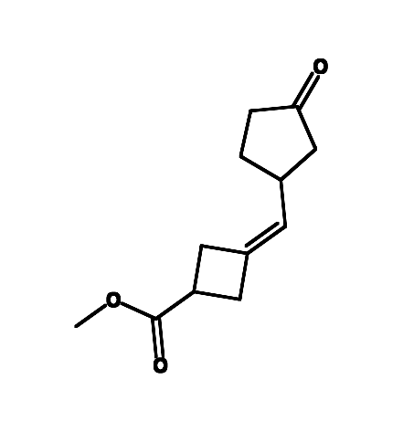 COC(=O)C1CC(=CC2CCC(=O)C2)C1